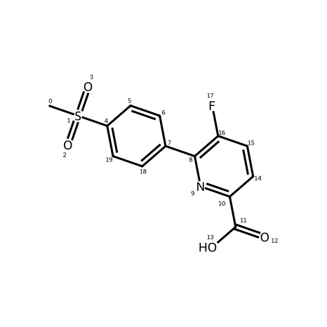 CS(=O)(=O)c1ccc(-c2nc(C(=O)O)ccc2F)cc1